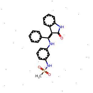 CS(=O)(=O)Nc1cccc(N/C(=C2\C(=O)Nc3ccccc32)c2ccccc2)c1